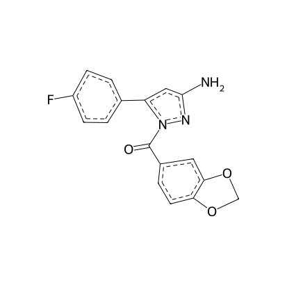 Nc1cc(-c2ccc(F)cc2)n(C(=O)c2ccc3c(c2)OCO3)n1